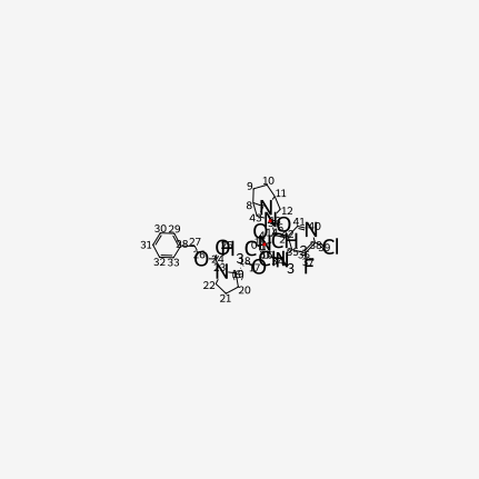 CC(C)(C)OC(=O)N1C2CCC1CN(c1nc(OC[C@@H]3CCCN3C(=O)OCc3ccccc3)nc3c(F)c(Cl)ncc13)C2